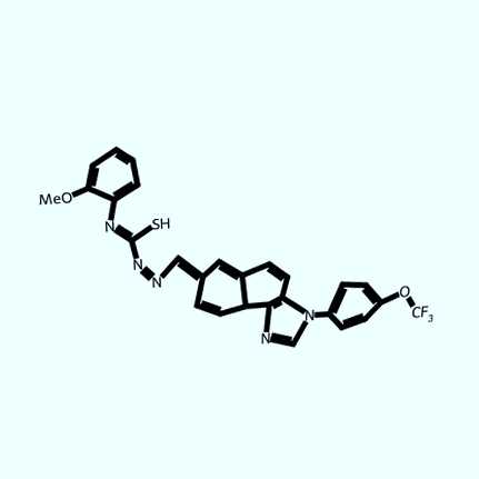 COc1ccccc1/N=C(S)/N=N\C=C1/C=CC2C(=C1)C=Cc1c2ncn1-c1ccc(OC(F)(F)F)cc1